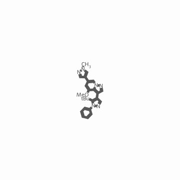 COc1cc(-c2cnn(C)c2)cn2ncc(-c3cnn(-c4ccccc4)c3C(C)(C)C)c12